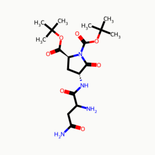 CC(C)(C)OC(=O)[C@@H]1C[C@@H](NC(=O)C(N)CC(N)=O)C(=O)N1C(=O)OC(C)(C)C